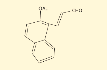 CC(=O)Oc1ccc2ccccc2c1/C=C/C=O